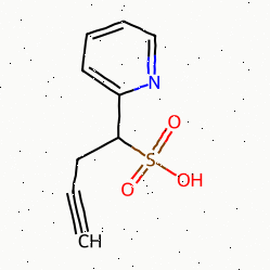 C#CCC(c1ccccn1)S(=O)(=O)O